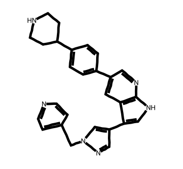 c1cc(Cn2cc(-c3c[nH]c4ncc(-c5ccc(C6CCNCC6)cc5)cc34)cn2)ccn1